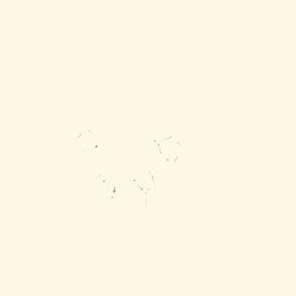 Cc1nc(-c2c[nH]c(C(=O)N(C)Cc3cccs3)c2)cs1